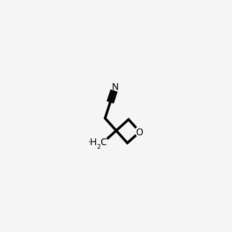 [CH2]C1(CC#N)COC1